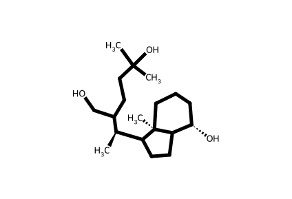 C[C@@H](C(CO)CCC(C)(C)O)C1CCC2[C@@H](O)CCC[C@]12C